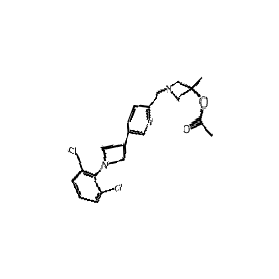 CC(=O)OC1(C)CN(Cc2ccc(C3CN(c4c(Cl)cccc4Cl)C3)cn2)C1